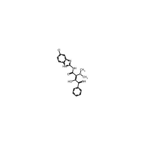 CN(C)/C(C(=O)Nc1nc2cc(Cl)ccc2[nH]1)=C(/O)C(=N)c1ccccc1